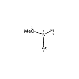 [CH2]CN(OC)C(C)=O